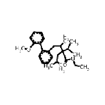 CCOC(=O)C(CC(C)C)(C(C)C)C(C)Cc1ccccc1-c1ccccc1OC